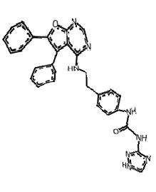 O=C(Nc1ccc(CCNc2ncnc3oc(-c4ccccc4)c(-c4ccccc4)c23)cc1)Nc1nc[nH]n1